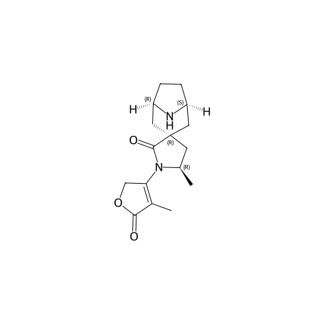 CC1=C(N2C(=O)[C@]3(C[C@H]4CC[C@@H](C3)N4)C[C@H]2C)COC1=O